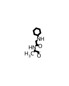 CC([C]=O)NC(=O)CNC1CCCCC1